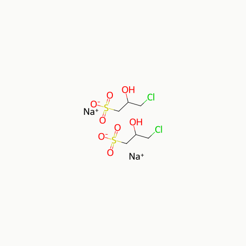 O=S(=O)([O-])CC(O)CCl.O=S(=O)([O-])CC(O)CCl.[Na+].[Na+]